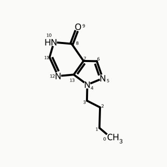 CCCCn1ncc2c(=O)[nH]cnc21